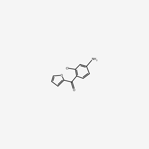 Nc1ccc(C(=O)c2ccco2)c(Cl)c1